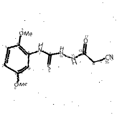 COc1ccc(OC)c(NC(=S)NNC(=O)CC#N)c1